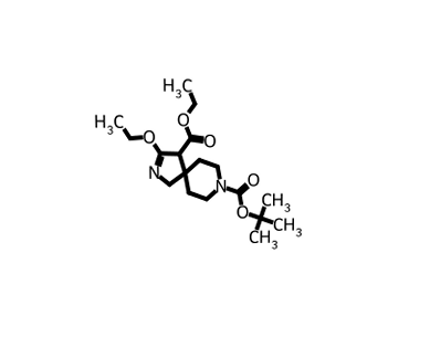 CCOC(=O)C1C(OCC)=NCC12CCN(C(=O)OC(C)(C)C)CC2